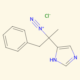 CC(Cc1ccccc1)([N+]#N)c1cnc[nH]1.[Cl-]